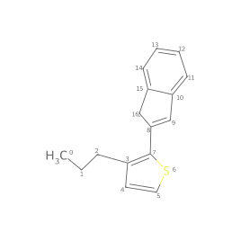 CCCc1ccsc1C1=Cc2ccccc2[CH]1